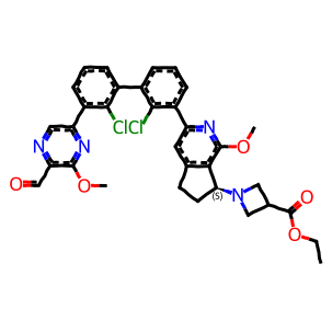 CCOC(=O)C1CN([C@H]2CCc3cc(-c4cccc(-c5cccc(-c6cnc(C=O)c(OC)n6)c5Cl)c4Cl)nc(OC)c32)C1